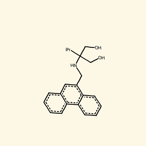 CC(C)C(CO)(CO)NCc1cc2ccccc2c2ccccc12